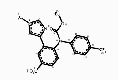 Cn1cnc(-c2cc(C(=O)O)ccc2N(C(=O)OC(C)(C)C)c2ccc(C(F)(F)F)cc2)c1